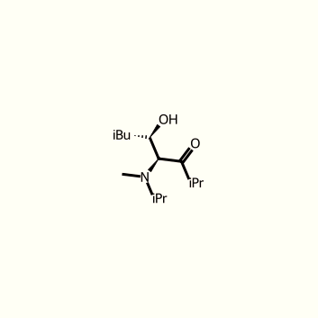 CC[C@@H](C)[C@@H](O)[C@@H](C(=O)C(C)C)N(C)C(C)C